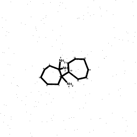 NC1(N)CCCCCC1(N)C1CCCCCC1